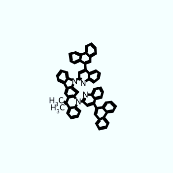 CC1(C)c2ccccc2N(c2cc(-c3cc4ccccc4c4ccccc34)c3ccccc3n2)c2cc3c(cc21)c1ccccc1n3-c1cc(-c2cc3ccccc3c3ccccc23)c2ccccc2n1